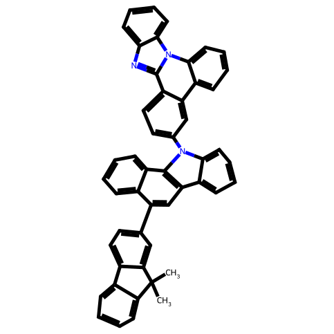 CC1(C)c2ccccc2-c2ccc(-c3cc4c5ccccc5n(-c5ccc6c(c5)c5ccccc5n5c7ccccc7nc65)c4c4ccccc34)cc21